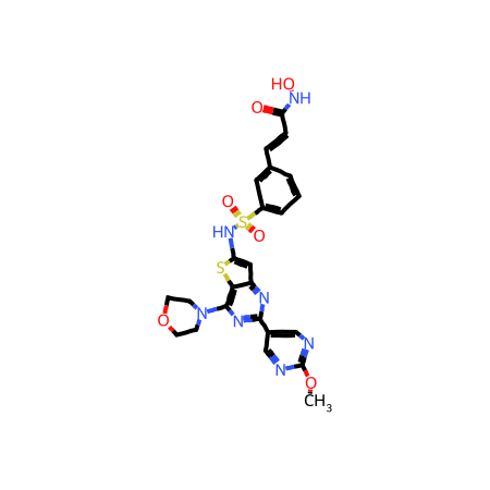 COc1ncc(-c2nc(N3CCOCC3)c3sc(NS(=O)(=O)c4cccc(/C=C/C(=O)NO)c4)cc3n2)cn1